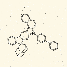 c1ccc(-c2ccc(-n3c4cc5c(cc4c4c6ccccc6ccc43)-c3ccccc3C53C4CC5CC(C4)CC3C5)cc2)cc1